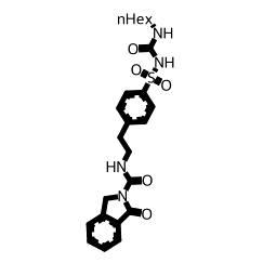 CCCCCCNC(=O)NS(=O)(=O)c1ccc(CCNC(=O)N2Cc3ccccc3C2=O)cc1